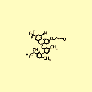 Cc1ccc(-c2cc(C(C)C)ccc2C)c(CN(Cc2cc(C#N)cc(C(F)(F)F)c2)c2ccc(OCCCC=O)cn2)c1